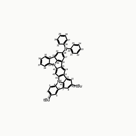 CC(C)(C)c1ccc2c(c1)c1cc(C(C)(C)C)cc3c4cc5c6cc(N(c7ccccc7)c7ccccc7)cc7c8ccccc8n(c5cc4n2c13)c76